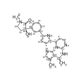 C[C@H](Nc1nccc(-c2csc(-c3cccc([C@]4(O)CCN(C)C4=O)c3)n2)n1)c1cncn1C